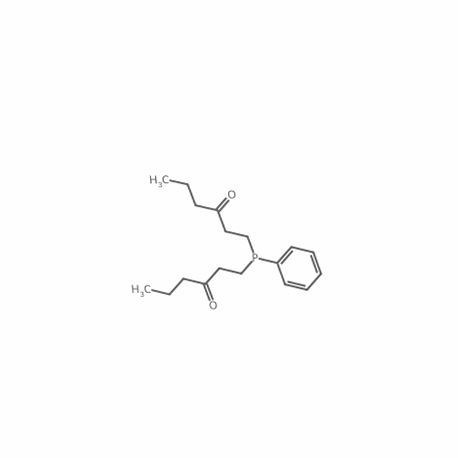 CCCC(=O)CCP(CCC(=O)CCC)c1ccccc1